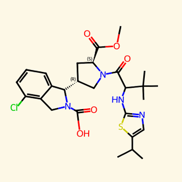 COC(=O)[C@@H]1C[C@@H](C2c3cccc(Cl)c3CN2C(=O)O)CN1C(=O)C(Nc1ncc(C(C)C)s1)C(C)(C)C